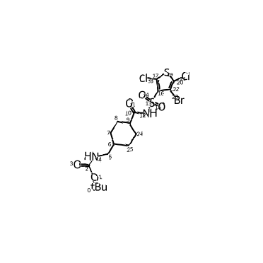 CC(C)(C)OC(=O)NCC1CCC(C(=O)NS(=O)(=O)c2c(Cl)sc(Cl)c2Br)CC1